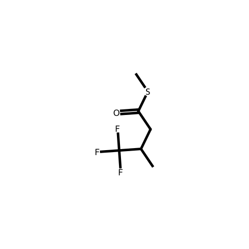 CSC(=O)CC(C)C(F)(F)F